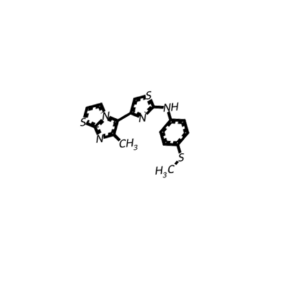 CSc1ccc(Nc2nc(-c3c(C)nc4sccn34)cs2)cc1